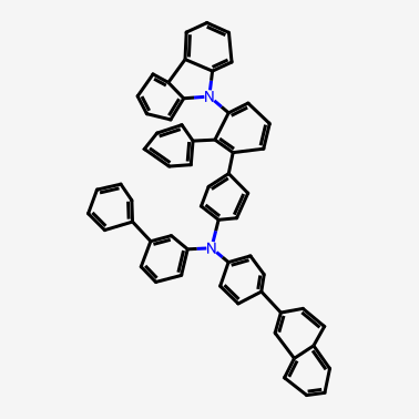 c1ccc(-c2cccc(N(c3ccc(-c4ccc5ccccc5c4)cc3)c3ccc(-c4cccc(-n5c6ccccc6c6ccccc65)c4-c4ccccc4)cc3)c2)cc1